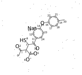 CC(=O)C(C(=O)[O-])C(S)C(=O)c1ccc(Oc2ccc(C)cc2)cc1.[Na+]